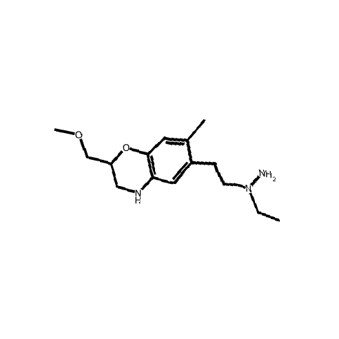 CCN(N)CCc1cc2c(cc1C)OC(COC)CN2